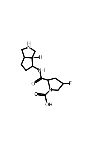 O=C(NC1CCC2CNC[C@@H]21)C1CC(F)CN1C(=O)O